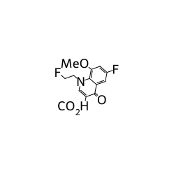 COc1cc(F)cc2c(=O)c(C(=O)O)cn(CCF)c12